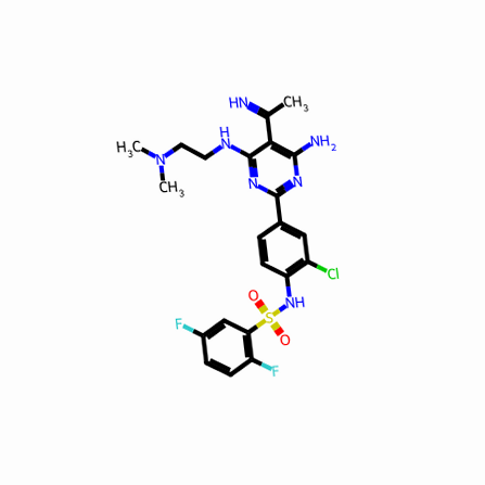 CC(=N)c1c(N)nc(-c2ccc(NS(=O)(=O)c3cc(F)ccc3F)c(Cl)c2)nc1NCCN(C)C